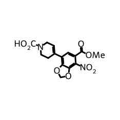 COC(=O)c1cc(C2=CCN(C(=O)O)CC2)c2c(c1[N+](=O)[O-])OCO2